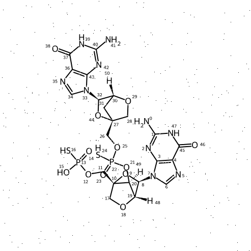 Nc1nc2c(ncn2[C@@H]2O[C@@]3(COP(=O)(O)S)CO[C@@H]2[C@@H]3OP(=O)(S)OC[C@]23CO[C@H](C2)[C@H](n2cnc4c(=O)[nH]c(N)nc42)O3)c(=O)[nH]1